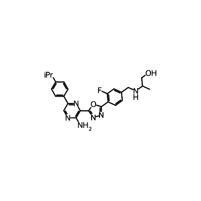 CC(CO)NCc1ccc(-c2nnc(-c3nc(-c4ccc(C(C)C)cc4)cnc3N)o2)c(F)c1